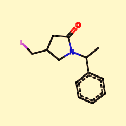 CC(c1ccccc1)N1CC(CI)CC1=O